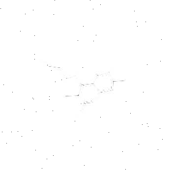 CCCCCc1c(C)c(=O)oc2cc(O)ccc12